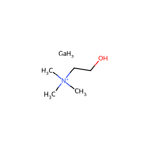 C[N+](C)(C)CCO.[GaH3]